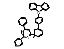 CC1(c2cc(-c3ccccc3)nc(-c3ccccc3)n2)C=CC=C(c2ccc(-n3c4ccccc4c4ccccc43)cc2)C1